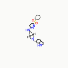 O=S(=O)(c1ccc(N[C@@H]2C[C@@H]3CN(Cc4ccc5cc[nH]c5c4)C[C@@H]3C2)nn1)C1CCCCC1